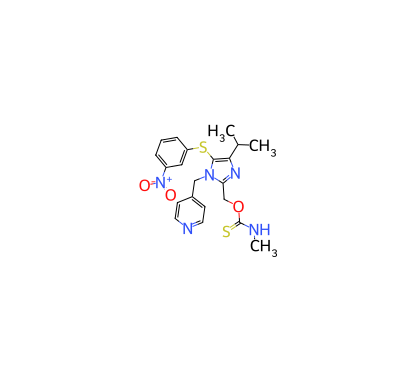 CNC(=S)OCc1nc(C(C)C)c(Sc2cccc([N+](=O)[O-])c2)n1Cc1ccncc1